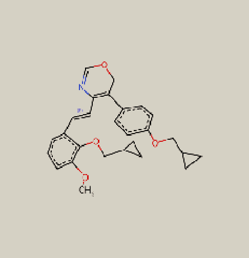 COc1cccc(/C=C/C2=C(c3ccc(OCC4CC4)cc3)COC=N2)c1OCC1CC1